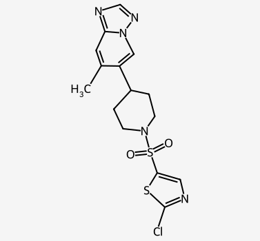 Cc1cc2ncnn2cc1C1CCN(S(=O)(=O)c2cnc(Cl)s2)CC1